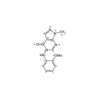 COc1ccccc1Nn1cnc2c(cnn2C)c1=O